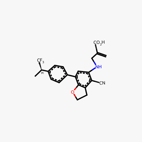 C=C(CNc1cc(-c2ccc([C@@H](C)C(F)(F)F)cc2)c2c(c1C#N)CCO2)C(=O)O